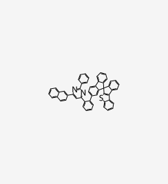 c1ccc(-c2nc(-c3ccc4ccccc4c3)cc(-c3ccccc3-c3ccc4c(c3)C3(c5ccccc5-4)c4ccccc4-c4c3sc3ccccc43)n2)cc1